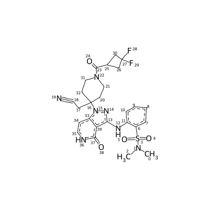 CN(C)S(=O)(=O)c1ccccc1Nc1nn(C2(CC#N)CCN(C(=O)C3CC(F)(F)C3)CC2)c2cc[nH]c(=O)c12